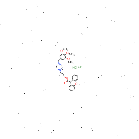 COc1cc(CN2CCN(CCCOC(=O)C3c4ccccc4Oc4ccccc43)CC2)cc(OC)c1OC.Cl.Cl